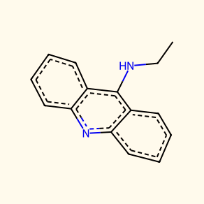 CCNc1c2ccccc2nc2ccccc12